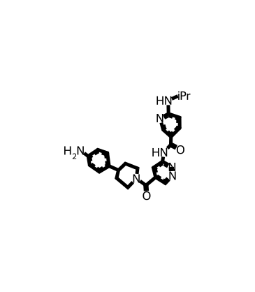 CC(C)Nc1ccc(C(=O)Nc2cc(C(=O)N3CCC(c4ccc(N)cc4)CC3)cnn2)cn1